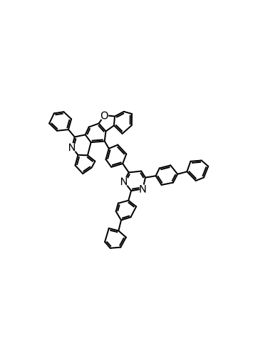 c1ccc(-c2ccc(-c3cc(-c4ccc(-c5c6c(cc7c(-c8ccccc8)nc8ccccc8c57)oc5ccccc56)cc4)nc(-c4ccc(-c5ccccc5)cc4)n3)cc2)cc1